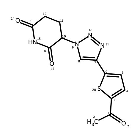 CC(=O)c1ccc(-c2cn(C3CCC(=O)NC3=O)nn2)s1